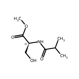 COC(=O)[C@H](CO)NC(=O)C(C)C